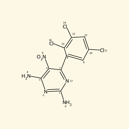 Nc1nc(N)c([N+](=O)[O-])c(-c2cc(Cl)cc(Cl)c2Cl)n1